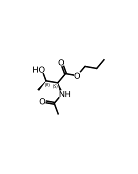 CCCOC(=O)[C@@H](NC(C)=O)[C@@H](C)O